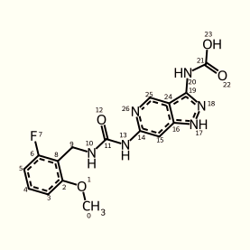 COc1cccc(F)c1CNC(=O)Nc1cc2[nH]nc(NC(=O)O)c2cn1